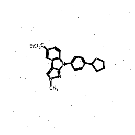 CCOC(=O)c1ccc2c(c1)c1cn(C)nc1n2-c1ccc(C2CCCC2)cc1